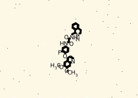 COc1cc2nccc(Oc3ccc(NC(=O)C(=O)NCC4NCCc5ccccc54)cc3F)c2cc1OC